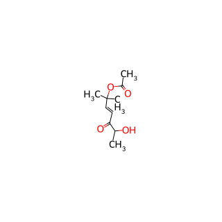 CC(=O)OC(C)(C)C=CC(=O)C(C)O